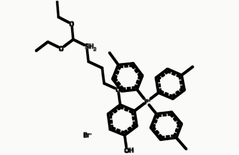 CCOC(OCC)[SiH2]CCCOc1ccc(O)cc1[P+](c1ccc(C)cc1)(c1ccc(C)cc1)c1ccc(C)cc1.[Br-]